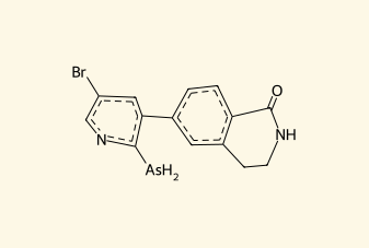 O=C1NCCc2cc(-c3cc(Br)cnc3[AsH2])ccc21